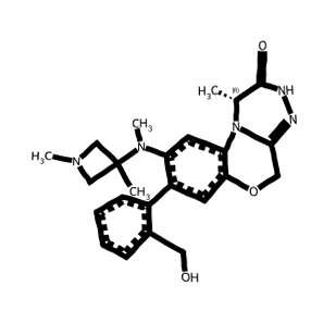 C[C@@H]1C(=O)NN=C2COc3cc(-c4ccccc4CO)c(N(C)C4(C)CN(C)C4)cc3N21